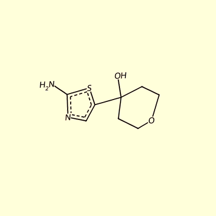 Nc1ncc(C2(O)CCOCC2)s1